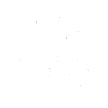 CC(C)(C)OC(=O)c1ncn2c1CN(C(=O)c1ccccc1)c1cc(F)ccc1-2